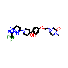 CN1CCN(CCOc2ccc(C3(O)CCN(c4ccc5nnc(C(F)(F)F)n5n4)CC3)cc2)CC1=O